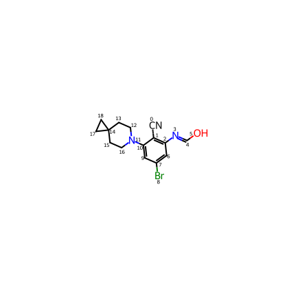 N#Cc1c(N=CO)cc(Br)cc1N1CCC2(CC1)CC2